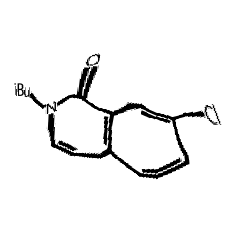 CCC(C)n1ccc2ccc(Cl)cc2c1=O